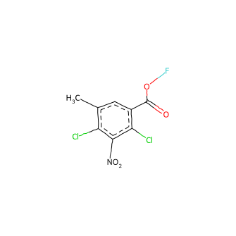 Cc1cc(C(=O)OF)c(Cl)c([N+](=O)[O-])c1Cl